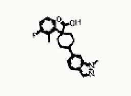 Cc1c(F)cccc1C1(C(=O)O)CCC(c2ccc3cnn(C)c3c2)CC1